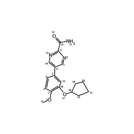 COc1ccc(-c2cnc(C(N)=O)nc2)cc1OC1CCCC1